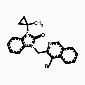 CC1(n2c(=O)n(Cc3ncc4ccccc4c3Br)c3ccccc32)CC1